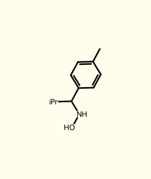 Cc1ccc(C(NO)C(C)C)cc1